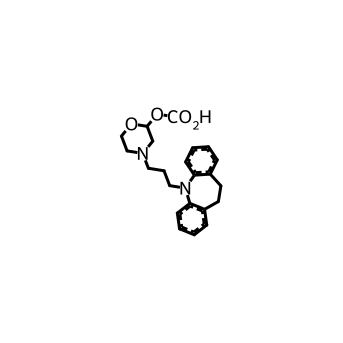 O=C(O)OC1CN(CCCN2c3ccccc3CCc3ccccc32)CCO1